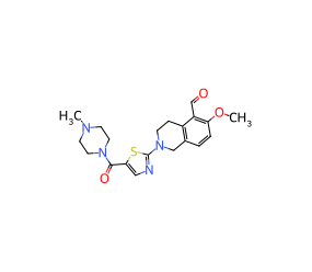 COc1ccc2c(c1C=O)CCN(c1ncc(C(=O)N3CCN(C)CC3)s1)C2